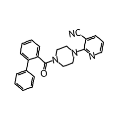 N#Cc1cccnc1N1CCN(C(=O)c2ccccc2-c2ccccc2)CC1